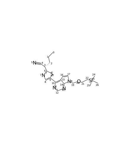 CCC[C@@H](C#N)c1ncc(-c2ncnc3c2ccn3COCC[Si](C)(C)C)s1